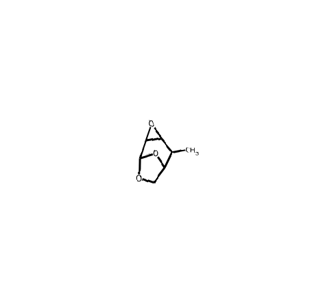 CC1C2COC(O2)C2OC12